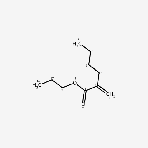 C=C(CCCC)C(=O)OCCC